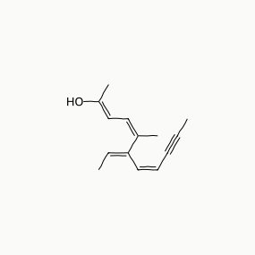 CC#C\C=C/C(=C\C)C(/C)=C\C=C(/C)O